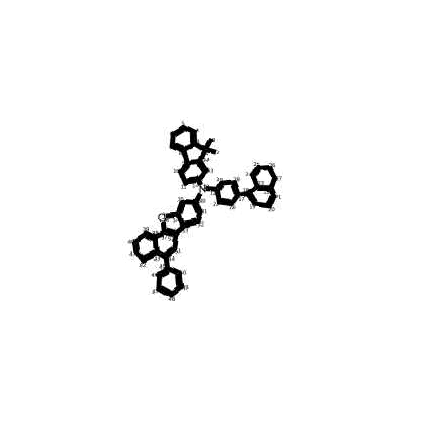 CC1(C)c2ccccc2-c2ccc(N(c3ccc(-c4cccc5c4C=CCC5)cc3)c3ccc4c(c3)oc3c5ccccc5c(-c5ccccc5)cc43)cc21